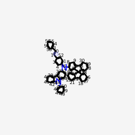 C(=C\c1ccc(N(c2ccc3c(c2)C2(c4ccccc4-c4ccccc42)c2ccccc2-3)c2ccc3c(c2)c2ccccc2n3-c2ccccc2)cc1)/c1ccccc1